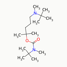 CN(CCCC(C)(C)OC(=O)N(C)C(C)(C)C)C(C)(C)C